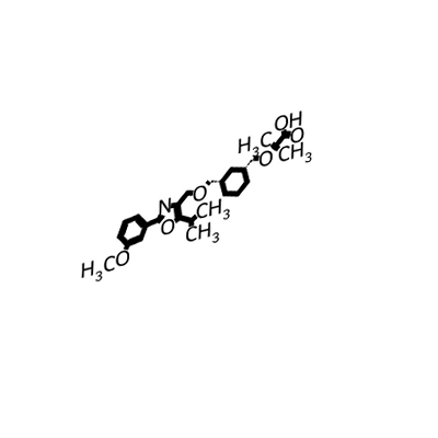 COc1cccc(-c2nc(COC[C@H]3CCC[C@@H](COC(C)(C)C(=O)O)C3)c(C(C)C)o2)c1